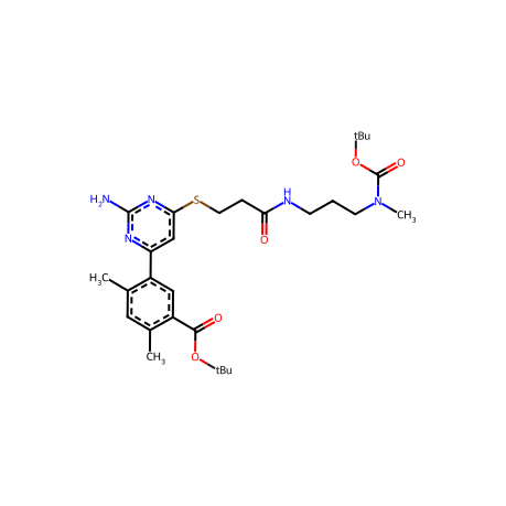 Cc1cc(C)c(-c2cc(SCCC(=O)NCCCN(C)C(=O)OC(C)(C)C)nc(N)n2)cc1C(=O)OC(C)(C)C